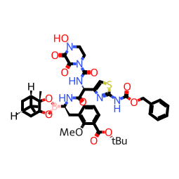 COc1c(C[C@H](NC(=O)[C@H](NC(=O)N2CCN(O)C(=O)C2=O)c2csc(NC(=O)OCc3ccccc3)n2)B2OC3C[C@H]4C[C@@H](C4(C)C)[C@]3(C)O2)cccc1C(=O)OC(C)(C)C